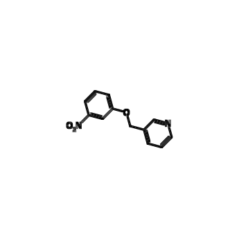 O=[N+]([O-])c1cccc(OCc2cccnc2)c1